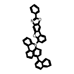 c1ccc(-c2nc3cc4oc5c(N(c6ccc(-c7cccc8ccccc78)cc6)c6ccccc6-c6ccccc6)cccc5c4cc3o2)cc1